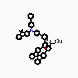 CC(C)(C)CC(c1ccc(-c2ccc3c(c2)C2(c4ccccc4-3)c3ccccc3-c3ccc(-c4cccc(-c5cccc(-c6ccc(N(c7ccc(-c8ccccc8)cc7)c7ccc8c(c7)C(C)(C)c7ccccc7-8)cc6)c5)c4)cc32)cc1)C(C)(C)C